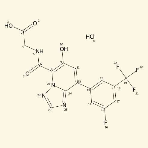 Cl.O=C(O)CNC(=O)c1c(O)cc(-c2cc(F)cc(C(F)(F)F)c2)c2ncnn12